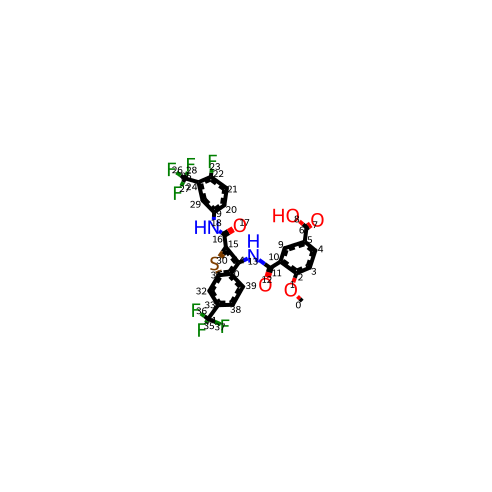 COc1ccc(C(=O)O)cc1C(=O)Nc1c(C(=O)Nc2ccc(F)c(C(F)(F)F)c2)sc2cc(C(F)(F)F)ccc12